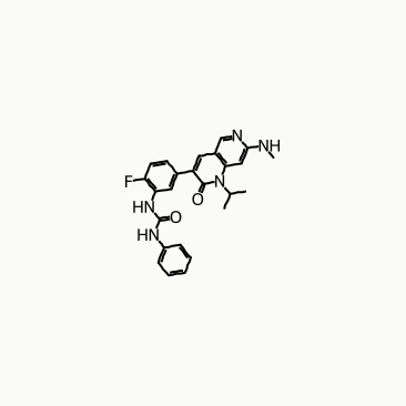 CNc1cc2c(cn1)cc(-c1ccc(F)c(NC(=O)Nc3ccccc3)c1)c(=O)n2C(C)C